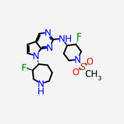 CS(=O)(=O)N1CC[C@@H](Nc2ncc3ccn([C@@H]4CCCNC[C@H]4F)c3n2)[C@H](F)C1